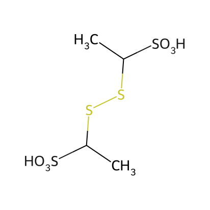 CC(SSC(C)S(=O)(=O)O)S(=O)(=O)O